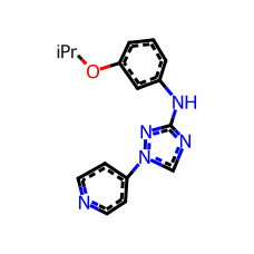 CC(C)Oc1cccc(Nc2ncn(-c3ccncc3)n2)c1